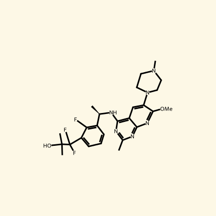 COc1nc2nc(C)nc(N[C@H](C)c3cccc(C(F)(F)C(C)(C)O)c3F)c2cc1N1CCN(C)CC1